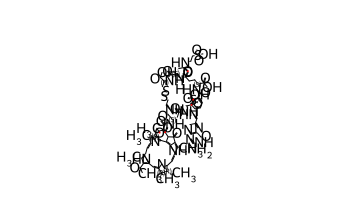 CC[C@H]1c2cc3[nH]c4c(c3C)C(=O)C(C(=O)OC)c4c3nc(cc4[nH]c(cc(n2)[C@@H]1C)c(C(C)=O)c4C)[C@@H](C)[C@@H]3CCC(=O)N[C@@H](CC(=O)NCCS(=O)(=O)O)C(=O)NCCSSC[C@H](NC(=O)[C@H](CC(=O)NCCS(=O)(=O)O)NC(=O)CC[C@H](NC(=O)c1ccc(NCc2cnc3nc(N)[nH]c(=O)c3n2)cc1)C(=O)O)C(=O)O